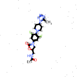 CCC(=O)NCC1CN(c2cc(F)c(N3CCC(n4nnnc4C)CC3)c(F)c2)C(=O)O1